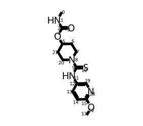 CNC(=O)OC1CCN(C(=S)Nc2ccc(OC)nc2)CC1